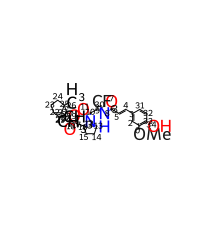 COc1cc(/C=C/C(=O)NC(C(=O)N2CCCC2C(=O)OC2CC3CCC2(C)C3(C)C)C(F)(F)F)ccc1O